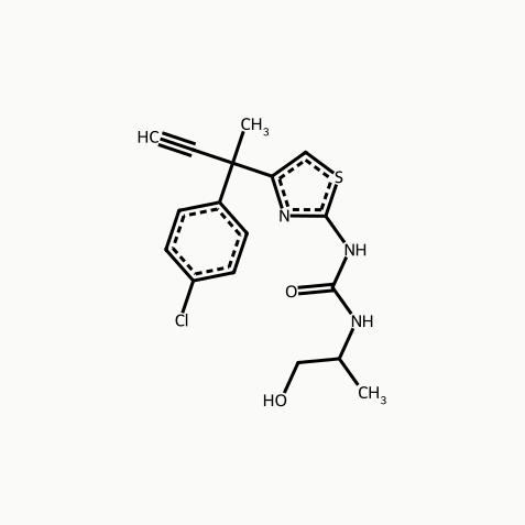 C#CC(C)(c1ccc(Cl)cc1)c1csc(NC(=O)NC(C)CO)n1